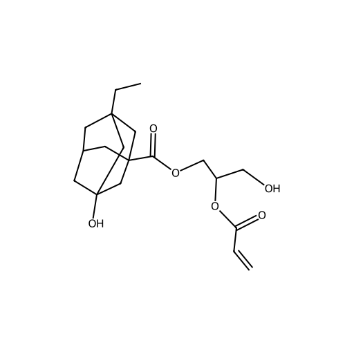 C=CC(=O)OC(CO)COC(=O)C12CC3CC(O)(CC(CC)(C3)C1)C2